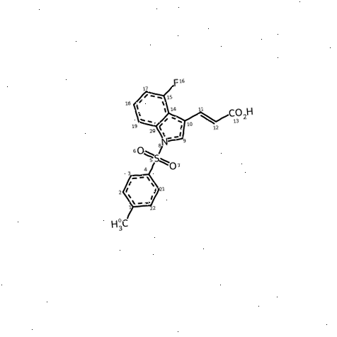 Cc1ccc(S(=O)(=O)n2cc(/C=C/C(=O)O)c3c(F)cccc32)cc1